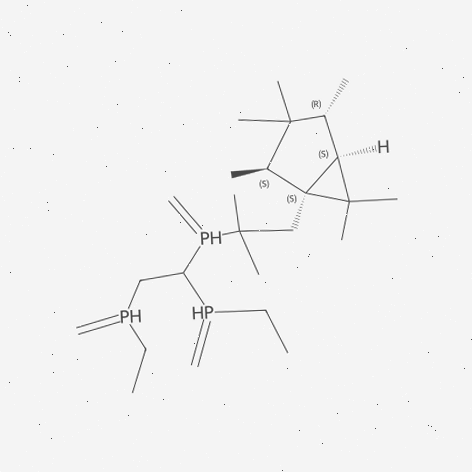 C=[PH](CC)CC([PH](=C)CC)[PH](=C)C(C)(C)C[C@]12[C@@H](C)C(C)(C)[C@H](C)[C@H]1C2(C)C